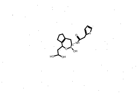 O=C(Cc1cccs1)N[C@H]1CC2=C(CCC2)C(CC(O)O)OB1O